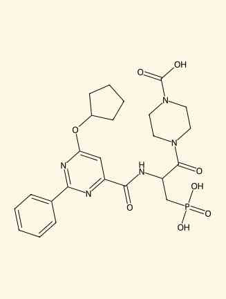 O=C(NC(CP(=O)(O)O)C(=O)N1CCN(C(=O)O)CC1)c1cc(OC2CCCC2)nc(-c2ccccc2)n1